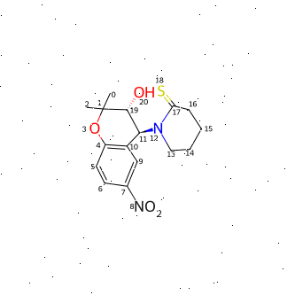 CC1(C)Oc2ccc([N+](=O)[O-])cc2[C@H](N2CCCCC2=S)[C@H]1O